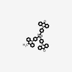 C=C1c2ccccc2N(c2ccc(-c3nc(-c4ccc(-n5c6ccccc6c(=O)c6ccccc65)cc4)nn3-c3ccc(-n4c5ccccc5c(=O)c5ccccc54)cc3)cc2)c2ccccc21